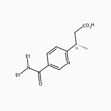 CCN(CC)C(=O)c1ccc([C@@H](C)CC(=O)O)nc1